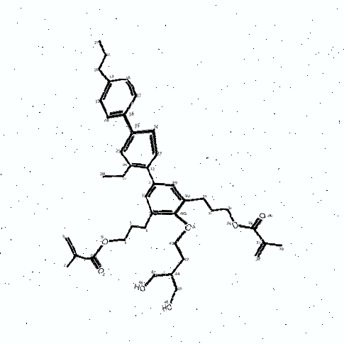 C=C(C)C(=O)OCCCc1cc(-c2ccc(-c3ccc(CCC)cc3)cc2CC)cc(CCCOC(=O)C(=C)C)c1OCCC(CO)CO